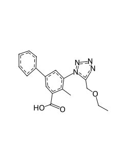 CCOCc1nnnn1-c1cc(-c2ccccc2)cc(C(=O)O)c1C